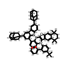 Cc1cc2c3c(c1)N(c1ccc(C(C)(C)C)cc1-c1ccccc1)c1c(oc4cc5c(cc14)C(C)(C)CCC5(C)C)B3n1c3ccc(C45CC6CC(CC(C6)C4)C5)cc3c3cc(C45CC6CC(CC(C6)C4)C5)cc-2c31